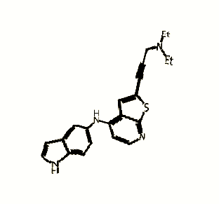 CCN(CC)CC#Cc1cc2c(Nc3ccc4[nH]ccc4c3)ccnc2s1